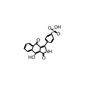 O=C1NC(c2ccc(S(=O)(=O)O)cc2)=C2C(=O)c3ccccc3C(O)=C12